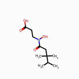 CC(C)C(C)(C)CC(=O)N(O)CCC(=O)O